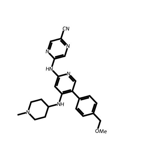 COCc1ccc(-c2cnc(Nc3cnc(C#N)cn3)cc2NC2CCN(C)CC2)cc1